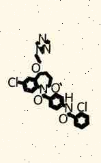 COc1cc(NC(=O)c2ccccc2Cl)ccc1C(=O)N1CCCC(OCCn2cncn2)c2cc(Cl)ccc21